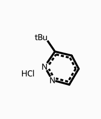 CC(C)(C)c1cccnn1.Cl